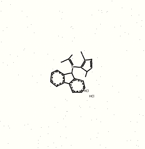 CC1=[C]([Ti](=[C](C)C)[CH]2c3ccccc3-c3ccccc32)C(C)C=C1.Cl.Cl